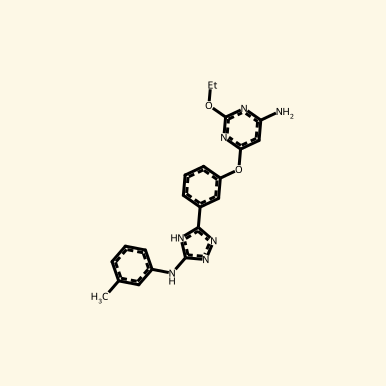 CCOc1nc(N)cc(Oc2cccc(-c3nnc(Nc4cccc(C)c4)[nH]3)c2)n1